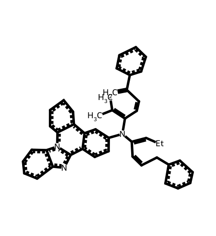 C=C(/C=C\C(=C(C)C)N(C(/C=C\Cc1ccccc1)=C/CC)c1ccc2c(c1)c1ccccc1n1c3ccccc3nc21)c1ccccc1